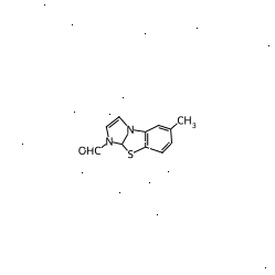 Cc1ccc2c(c1)N1C=CN(C=O)C1S2